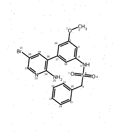 COc1cc(NS(=O)(=O)Cc2ccccc2)cc(-c2cc(Br)cnc2N)c1